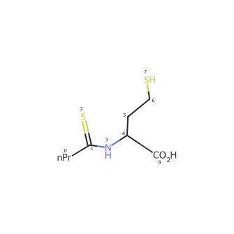 CCCC(=S)NC(CCS)C(=O)O